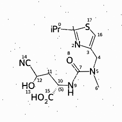 CC(C)c1nc(CN(C)C(=O)N[C@@H](CC(O)C#N)C(=O)O)cs1